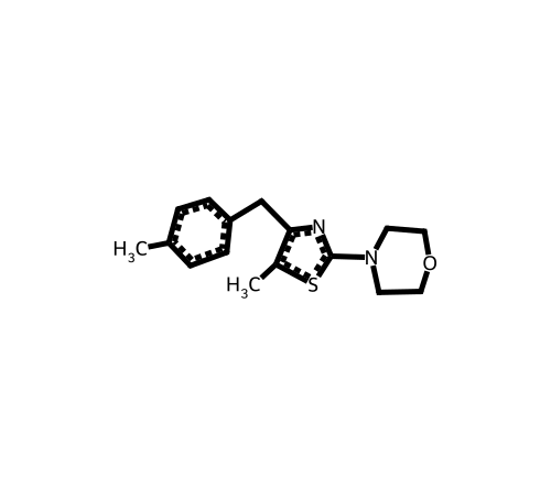 Cc1ccc(Cc2nc(N3CCOCC3)sc2C)cc1